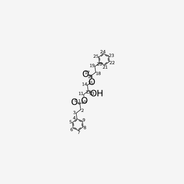 O=C(CCc1ccccc1)OCC(O)COC(=O)CCc1ccccc1